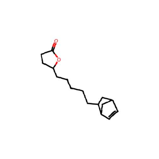 O=C1CCC(CCCCCC2CC3C=CC2C3)O1